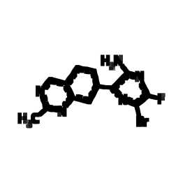 Cc1ncc2ccc(-c3nc(Br)c(F)nc3N)cc2n1